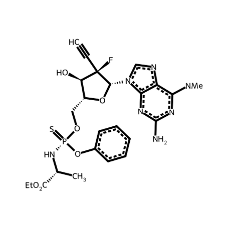 C#C[C@@]1(F)[C@H](O)[C@@H](CO[P@@](=S)(N[C@H](C)C(=O)OCC)Oc2ccccc2)O[C@H]1n1cnc2c(NC)nc(N)nc21